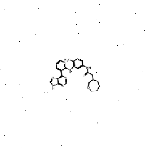 Cc1ccc(NC(=O)CC2CCCCOC2)cc1Nc1ncccc1-c1ncnc2[nH]cnc12